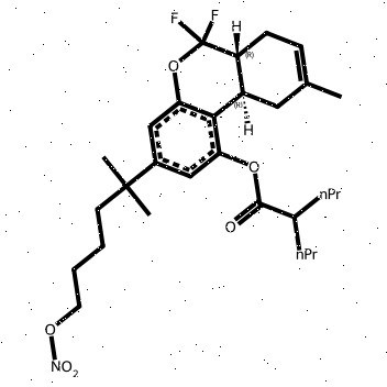 CCCC(CCC)C(=O)Oc1cc(C(C)(C)CCCCO[N+](=O)[O-])cc2c1[C@@H]1CC(C)=CC[C@H]1C(F)(F)O2